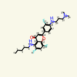 CCCCCNc1c(F)cc(F)c2oc(-c3ccc(NCCCN(C)C)c(F)c3)cc(=O)c12